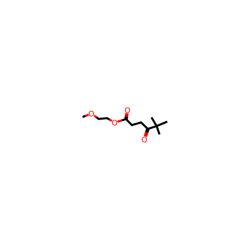 COCCOC(=O)CCC(=O)C(C)(C)C